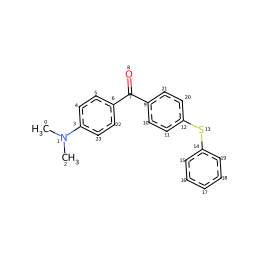 CN(C)c1ccc(C(=O)c2ccc(Sc3ccccc3)cc2)cc1